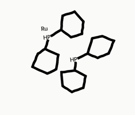 C1CCC(PC2CCCCC2)CC1.C1CCC(PC2CCCCC2)CC1.[Ru]